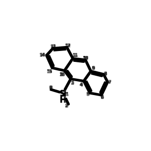 C[SiH](C)c1c2ccccc2cc2ccccc12